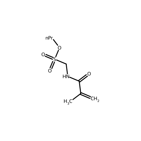 C=C(C)C(=O)NCS(=O)(=O)OCCC